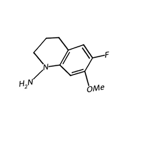 COc1cc2c(cc1F)CCCN2N